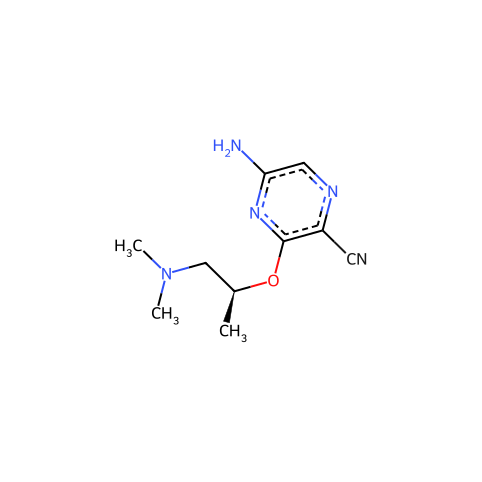 C[C@@H](CN(C)C)Oc1nc(N)cnc1C#N